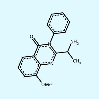 COc1cccc2c(=O)n(-c3ccccc3)c(C(C)N)nc12